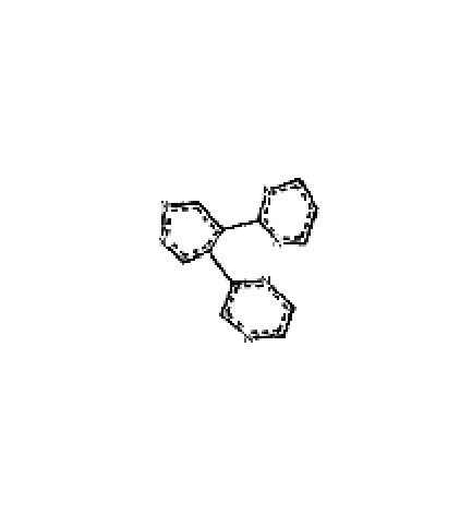 [c]1nncc(-c2ncccn2)c1-c1cnccn1